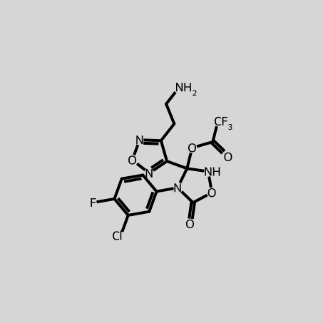 NCCc1nonc1C1(OC(=O)C(F)(F)F)NOC(=O)N1c1ccc(F)c(Cl)c1